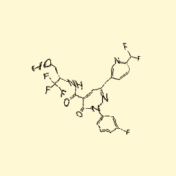 O=C(N[C@H](CO)C(F)(F)F)c1cc(-c2ccc(C(F)F)nc2)nn(-c2cccc(F)c2)c1=O